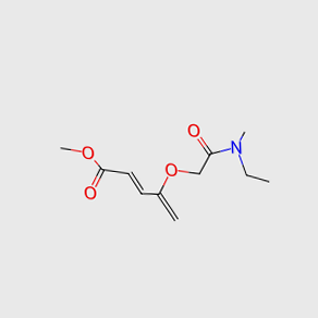 C=C(/C=C/C(=O)OC)OCC(=O)N(C)CC